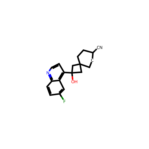 N#CC1CCC2(CC1)CC(O)(c1ccnc3ccc(F)cc13)C2